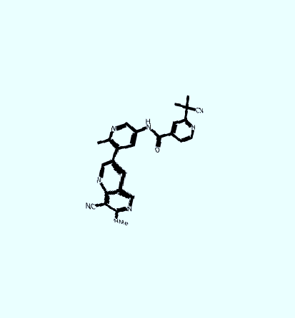 CNc1ncc2cc(-c3cc(NC(=O)c4ccnc(C(C)(C)C#N)c4)cnc3C)cnc2c1C#N